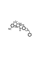 CC1(C)Oc2ccc(C#N)cc2[C@H](NC(=NC#N)Nc2ccc3c(c2)CN(Cc2ccccc2)C3)[C@H]1O